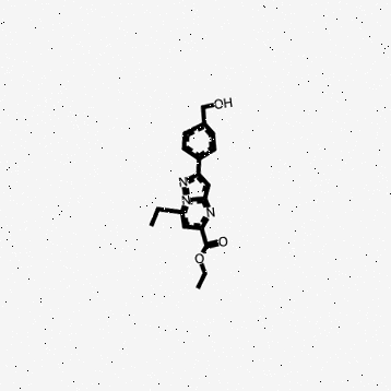 CCOC(=O)c1cc(CC)n2nc(-c3ccc(CO)cc3)cc2n1